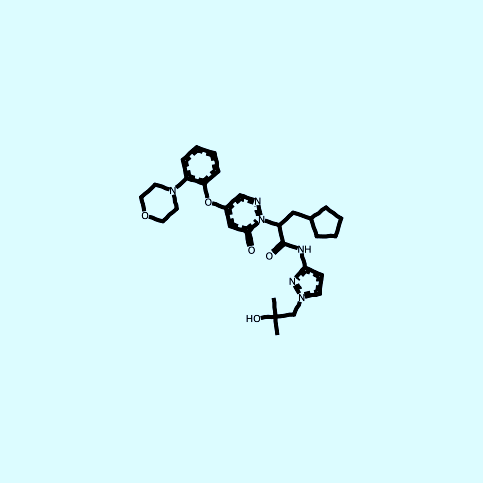 CC(C)(O)Cn1ccc(NC(=O)C(CC2CCCC2)n2ncc(Oc3ccccc3N3CCOCC3)cc2=O)n1